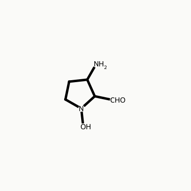 NC1CCN(O)C1C=O